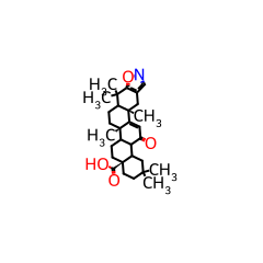 CC1(C)CC[C@]2(C(=O)O)CCC3C(C(=O)C=C4[C@@]3(C)CCC3C(C)(C)c5oncc5C[C@]43C)C2C1